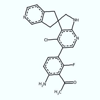 CC(=O)c1c(N)ccc(-c2cnc3c(c2Cl)C2(CN3)Cc3ccncc3C2)c1F